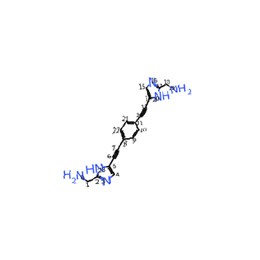 NCc1ncc(C#Cc2ccc(C#Cc3cnc(CN)[nH]3)cc2)[nH]1